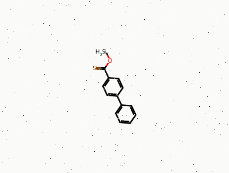 [SiH3]OC(=S)c1ccc(-c2ccccc2)cc1